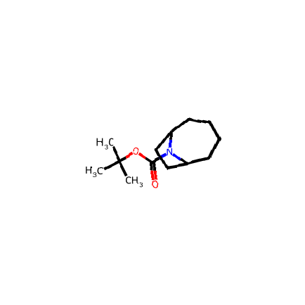 CC(C)(C)OC(=O)N1C2CCCCC1CC2